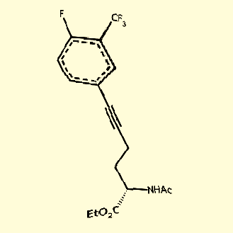 CCOC(=O)[C@H](CCC#Cc1ccc(F)c(C(F)(F)F)c1)NC(C)=O